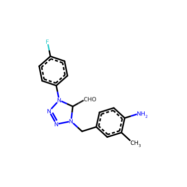 Cc1cc(CN2N=NN(c3ccc(F)cc3)C2C=O)ccc1N